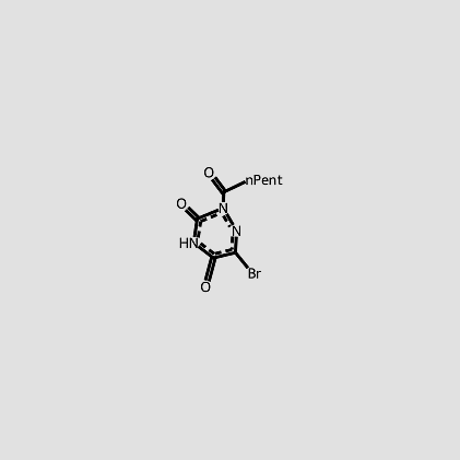 CCCCCC(=O)n1nc(Br)c(=O)[nH]c1=O